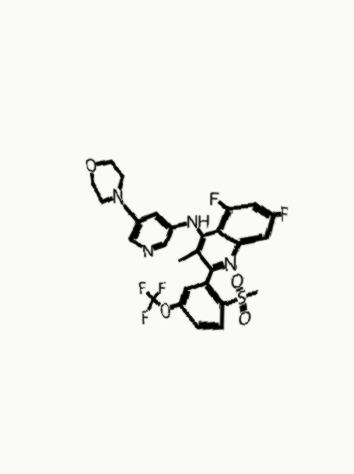 Cc1c(-c2cc(OC(F)(F)F)ccc2S(C)(=O)=O)nc2cc(F)cc(F)c2c1Nc1cncc(N2CCOCC2)c1